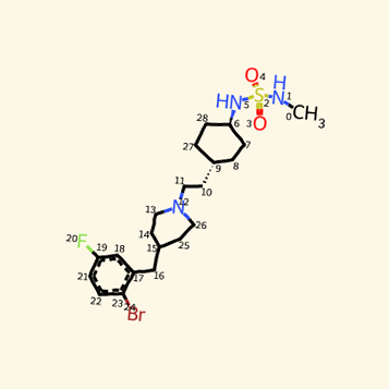 CNS(=O)(=O)N[C@H]1CC[C@H](CCN2CCC(Cc3cc(F)ccc3Br)CC2)CC1